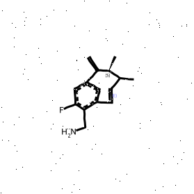 C=C1c2cc(F)c(CN)c(c2)/C=C/C(C)[C@@H]1C